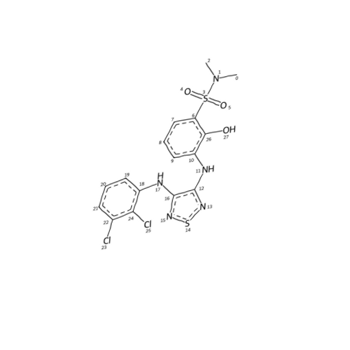 CN(C)S(=O)(=O)c1cccc(Nc2nsnc2Nc2cccc(Cl)c2Cl)c1O